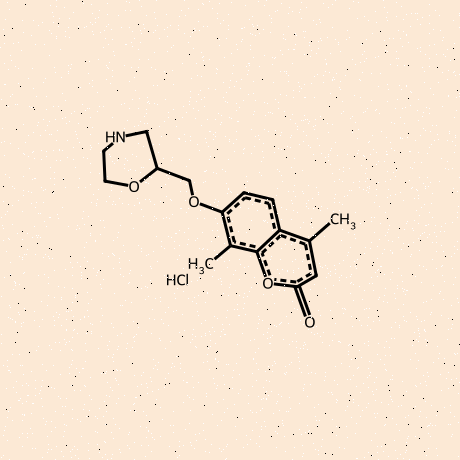 Cc1cc(=O)oc2c(C)c(OCC3CNCCO3)ccc12.Cl